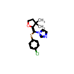 CC1(C)CCOC1=C(Sc1ccc(Cl)cc1)n1ccnc1